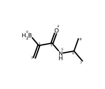 BC(=C)C(=O)NC(C)C